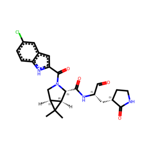 CC1(C)[C@@H]2[C@@H](C(=O)N[C@H](C=O)C[C@@H]3CCNC3=O)N(C(=O)c3cc4cc(Cl)ccc4[nH]3)C[C@@H]21